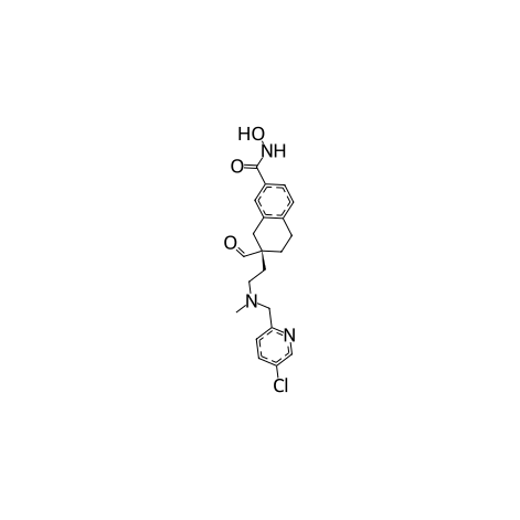 CN(CC[C@]1(C=O)CCc2ccc(C(=O)NO)cc2C1)Cc1ccc(Cl)cn1